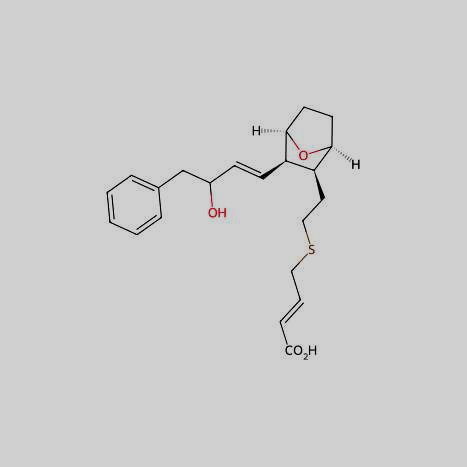 O=C(O)C=CCSCC[C@H]1[C@@H](/C=C/C(O)Cc2ccccc2)[C@H]2CC[C@@H]1O2